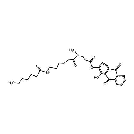 CCCCCCC(=O)NCCCCCC(=O)N(C)CCC(=O)Oc1ccc2c(c1O)C(=O)c1ccccc1C2=O